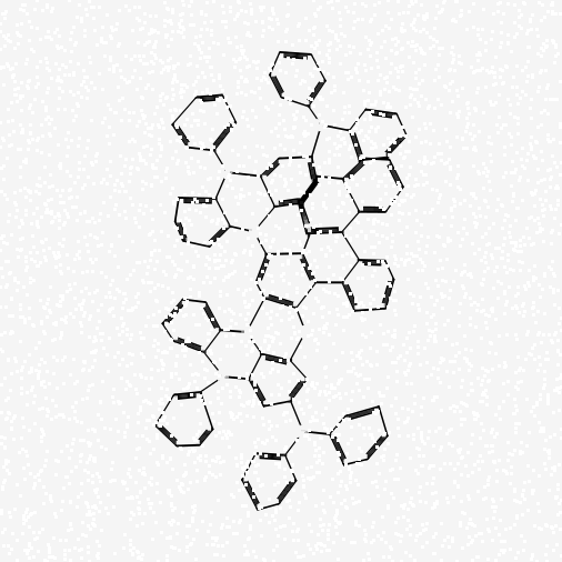 c1ccc(N(c2ccccc2)c2cc3c4c(c2)N(c2ccccc2)c2ccccc2B4c2cc4c(c(-c5ccccc5-c5cccc6ccccc56)c2O3)Oc2cc(N(c3ccccc3)c3ccccc3)cc3c2B4c2ccccc2N3c2ccccc2)cc1